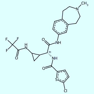 CN1CCc2ccc(NC(=O)[C@H](NC(=O)c3ccc(Cl)s3)C3CC3NC(=O)C(F)(F)F)cc2CC1